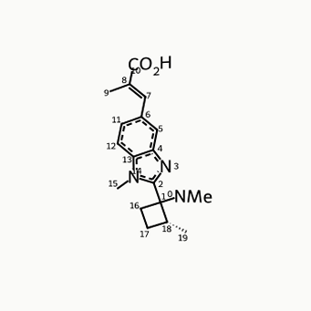 CNC1(c2nc3cc(/C=C(\C)C(=O)O)ccc3n2C)CC[C@H]1C